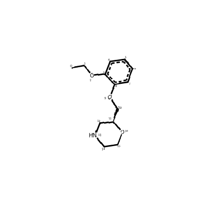 CCOc1ccccc1OC[C@@H]1CNCCO1